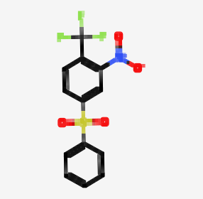 O=[N+]([O-])c1cc(S(=O)(=O)c2ccccc2)ccc1C(F)(F)F